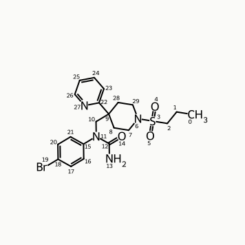 CCCS(=O)(=O)N1CCC(CN(C(N)=O)c2ccc(Br)cc2)(c2ccccn2)CC1